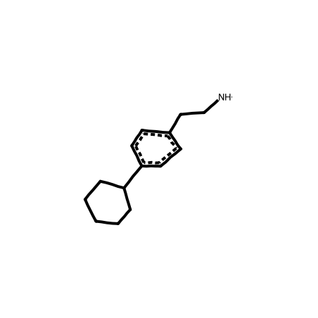 [NH]CCc1ccc(C2CCCCC2)cc1